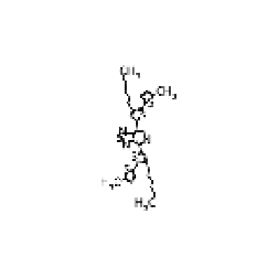 CCCCCCc1cc(-c2cnc(-c3cc(CCCCCC)c(-c4ccc(C)s4)s3)c3nsnc23)sc1-c1ccc(C)s1